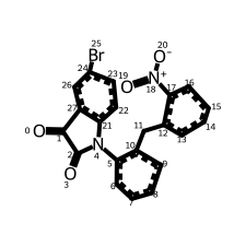 O=C1C(=O)N(c2ccccc2Cc2ccccc2[N+](=O)[O-])c2ccc(Br)cc21